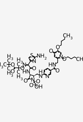 CCCCOc1cn(OCCCC)c(CNC(=O)c2ccc(NC[C@@H]3[C@H](NC(=O)/C(=N\OC(C)(C)C(=O)OC(C)(C)C)c4csc(N)n4)C(=O)N3S(=O)(=O)O)nc2)cc1=O